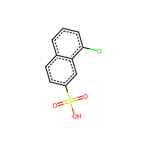 O=S(=O)(O)c1ccc2cccc(Cl)c2c1